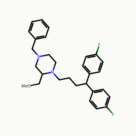 COCC1CN(Cc2ccccc2)CCN1CCCC(c1ccc(F)cc1)c1ccc(F)cc1